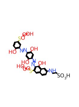 O=S(=O)(O)CCNc1ccc2cc(SOOO)c(N=Nc3cc(O)c(N=Nc4cc(SOOO)ccc4O)cc3O)c(O)c2c1